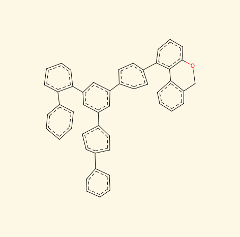 c1ccc(-c2ccc(-c3cc(-c4ccc(-c5cccc6c5-c5ccccc5CO6)cc4)cc(-c4ccccc4-c4ccccc4)c3)cc2)cc1